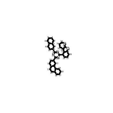 c1ccc2cc(-c3nc(-c4ccc5ccc6ccccc6c5c4)nc(-c4cccc5oc6ncccc6c45)n3)ccc2c1